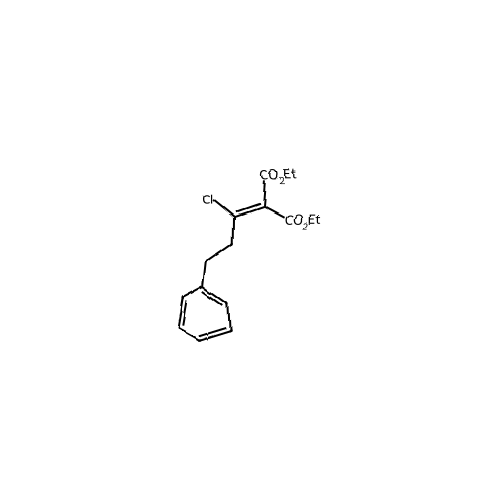 CCOC(=O)C(C(=O)OCC)=C(Cl)CCc1ccccc1